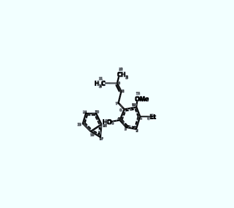 CCc1ccc(O)c(CC=C(C)C)c1OC.c1cc2cc-2c1